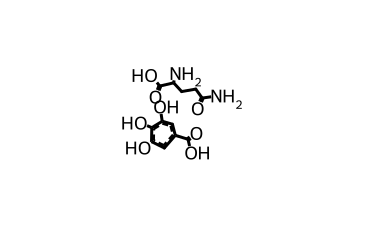 NC(=O)CCC(N)C(=O)O.O=C(O)c1cc(O)c(O)c(O)c1